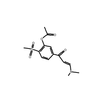 CC(=O)Oc1cc(C(=O)/C=C/N(C)C)ccc1S(C)(=O)=O